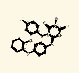 CCn1c(=O)[nH]c(=Nc2ccc(OC3=C(C#N)CCC=C3)cc2)n(Cc2ccc(Cl)cc2)c1=O